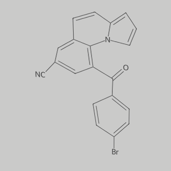 N#Cc1cc(C(=O)c2ccc(Br)cc2)c2c(ccc3cccn32)c1